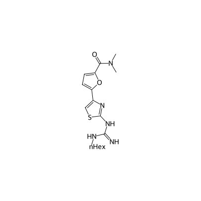 CCCCCCNC(=N)Nc1nc(-c2ccc(C(=O)N(C)C)o2)cs1